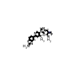 Cc1cc(-c2ccc3sc(N)nc3c2)ncc1-n1cnn(C/C(=C/F)CN)c1=O